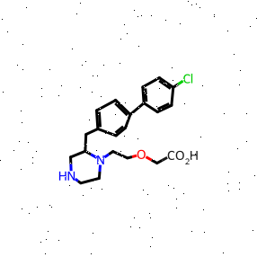 O=C(O)COCCN1CCNCC1Cc1ccc(-c2ccc(Cl)cc2)cc1